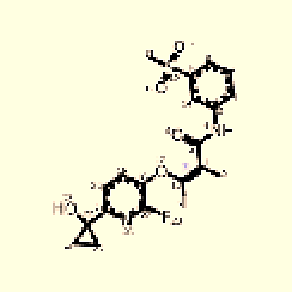 C/C(C(=O)Nc1cccc(S(C)(=O)=O)c1)=C(\I)Oc1ccc(C2(O)CC2)nc1F